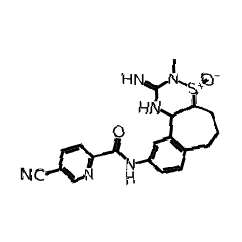 CN1C(=N)NC2c3cc(NC(=O)c4ccc(C#N)cn4)ccc3CCCC2[S+]1[O-]